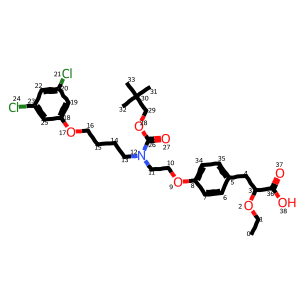 CCOC(Cc1ccc(OCCN(CCCCOc2cc(Cl)cc(Cl)c2)C(=O)OCC(C)(C)C)cc1)C(=O)O